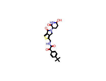 CC(C)(C)c1ccc(C(=O)C(=O)NCc2scc3c2CN(C2CCC(O)NC2=O)C3=O)cc1